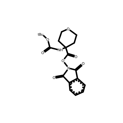 CC(C)(C)OC(=O)NC1(C(=O)ON2C(=O)c3ccccc3C2=O)CCOCC1